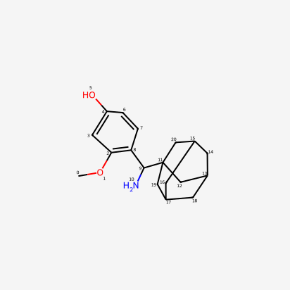 COc1cc(O)ccc1C(N)C12CC3CC(CC(C3)C1)C2